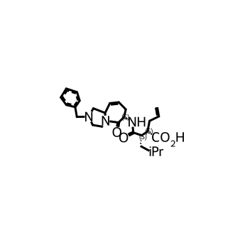 C=CC[C@H](C(=O)O)[C@H](CC(C)C)C(=O)N[C@H]1CC=CC2CN(Cc3ccccc3)CCN2C1=O